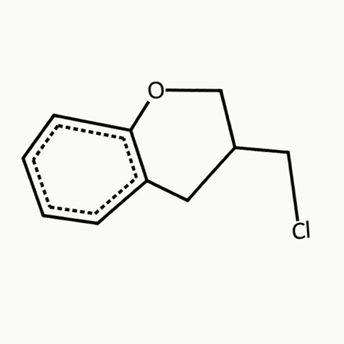 ClCC1COc2ccccc2C1